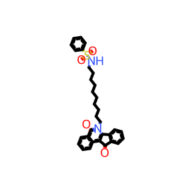 O=C1c2ccccc2-c2c1c1ccccc1c(=O)n2CCCCCCCCCCNS(=O)(=O)c1ccccc1